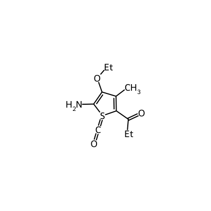 CCOC1=C(N)S(=C=O)C(C(=O)CC)=C1C